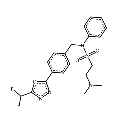 CN(C)CCS(=O)(=O)N(Cc1ccc(-c2nnc(C(F)F)o2)cc1)c1ccccc1